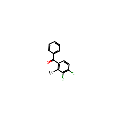 Cc1c(C(=O)c2ccccc2)ccc(Cl)c1Cl